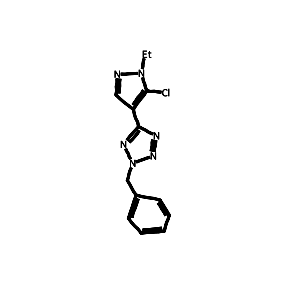 CCn1ncc(-c2nnn(Cc3ccccc3)n2)c1Cl